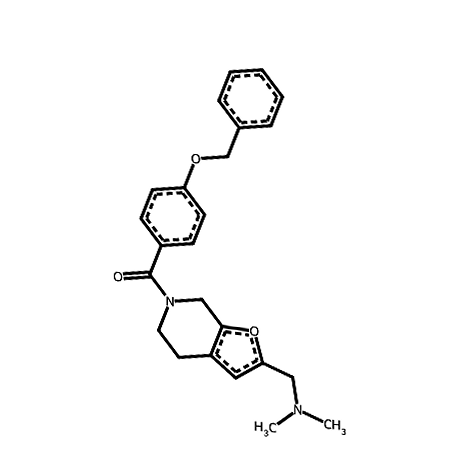 CN(C)Cc1cc2c(o1)CN(C(=O)c1ccc(OCc3ccccc3)cc1)CC2